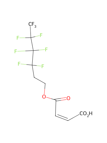 O=C(O)/C=C\C(=O)OCCC(F)(F)C(F)(F)C(F)(F)C(F)(F)F